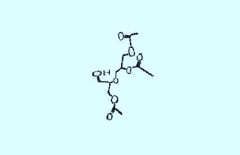 CC(=O)OCC(CO)OCC(COC(C)=O)OC(C)=O